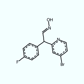 ON=CC(c1ccc(F)cc1)c1cc(Br)ccn1